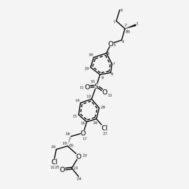 CC[C@@H](C)COc1ccc(S(=O)(=O)c2ccc(OC[C@@H](CCl)OC(C)=O)c(Cl)c2)cc1